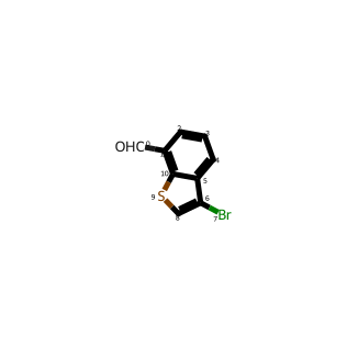 O=Cc1cccc2c(Br)csc12